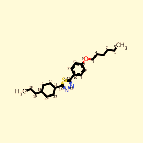 CCCCCCOc1ccc(-c2nnc(C3CCC(CCC)CC3)s2)cc1